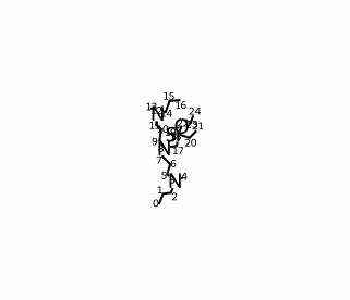 CCCN(C)CCCN(CCCN(C)CCC)C[Si](C)(CC)OCC